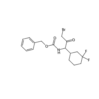 O=C(NC(C(=O)CBr)C1CCCC(F)(F)C1)OCc1ccccc1